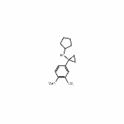 CNc1ccc(C2(NC3CCCC3)CC2)cc1[N+](=O)[O-]